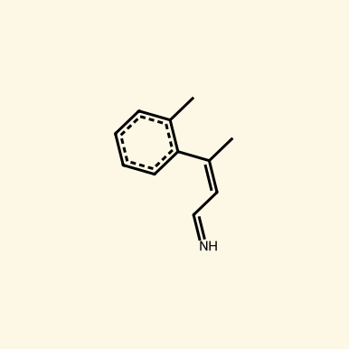 C/C(=C/C=N)c1ccccc1C